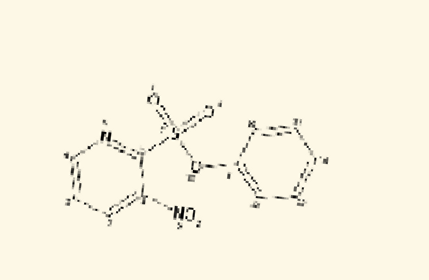 O=[N+]([O-])c1cccnc1S(=O)(=O)Oc1ccccc1